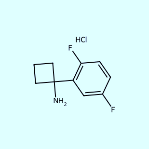 Cl.NC1(c2cc(F)ccc2F)CCC1